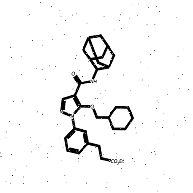 CCOC(=O)CCc1cccc(-n2ncc(C(=O)NC3C4CC5CC(C4)CC3C5)c2OCC2CCCCC2)c1